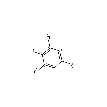 Cc1c(Cl)cc(Br)cc1Cl